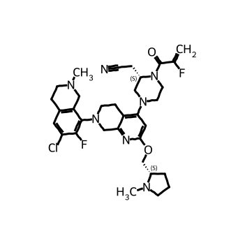 C=C(F)C(=O)N1CCN(c2cc(OC[C@@H]3CCCN3C)nc3c2CCN(c2c(F)c(Cl)cc4c2CN(C)CC4)C3)C[C@@H]1CC#N